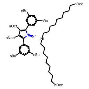 CCCCCCCCCC1=C(c2cc(CCCC)cc(CCCC)c2)[N+](=[N-])C(c2cc(CCCC)cc(CCCC)c2)=C1CCCCCCCC.CCCCCCCCCCCCCCCCCC[CH2][Ni][CH2]CCCCCCCCCCCCCCCCCC